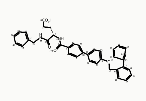 O=C(O)CC[C@H](NC(=O)c1ccc(-c2ccc(OCc3ccccc3-c3ccccc3)cc2)cc1)C(=O)NCc1ccccc1